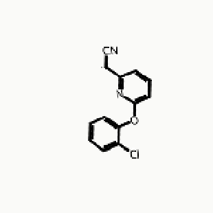 N#C[CH]c1cccc(Oc2ccccc2Cl)n1